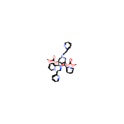 COC(=O)OC12CN(CCc3ccccn3)CC(OC(=O)OC)(C1=O)C(c1ccccn1)N(CCc1ccccn1)C2c1ccccn1